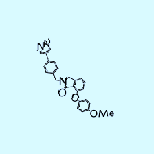 COc1ccc(Oc2cccc3c2C(=O)N(Cc2ccc(-c4cnn(C)c4)cc2)C3)cc1